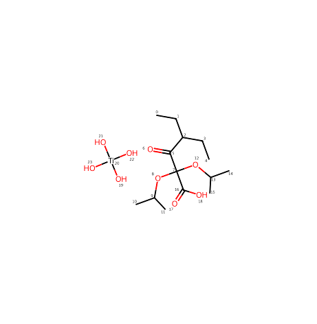 CCC(CC)C(=O)C(OC(C)C)(OC(C)C)C(=O)O.[OH][Ti]([OH])([OH])[OH]